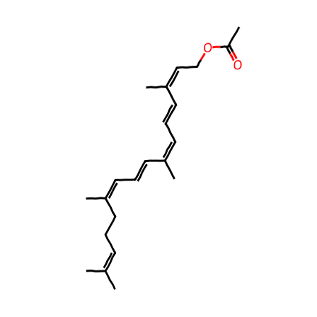 CC(=O)OCC=C(C)C=CC=C(C)C=CC=C(C)CCC=C(C)C